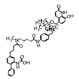 CN(CCCCC(=O)Nc1ccc(CNC[C@H](O[Si](C)(C)C(C)(C)C)c2ccc(O)c3[nH]c(=O)ccc23)cc1)C(=O)CCCc1ccc(-c2ccccc2)c(NC(=O)O)c1